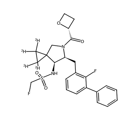 [2H]C1([2H])C([2H])([2H])C12CN(C(=O)[C@H]1CCO1)[C@@H](Cc1cccc(-c3ccccc3)c1F)[C@H]2NS(=O)(=O)CF